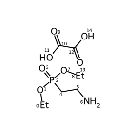 CCOP(=O)(CCN)OCC.O=C(O)C(=O)O